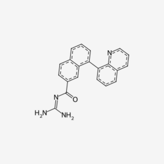 NC(N)=NC(=O)c1ccc2cccc(-c3cccc4cccnc34)c2c1